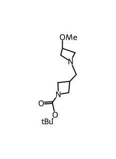 COC1CN(CC2CN(C(=O)OC(C)(C)C)C2)C1